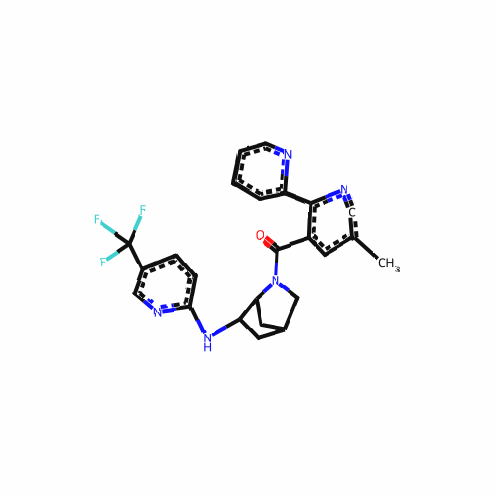 Cc1cnc(-c2ccccn2)c(C(=O)N2CC3CC(Nc4ccc(C(F)(F)F)cn4)C2C3)c1